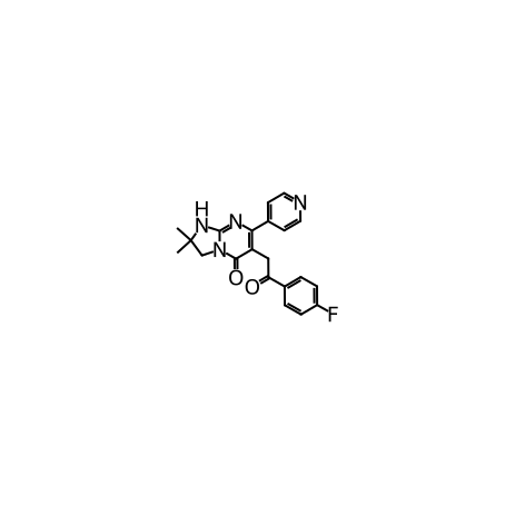 CC1(C)Cn2c(nc(-c3ccncc3)c(CC(=O)c3ccc(F)cc3)c2=O)N1